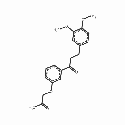 COc1ccc(CCC(=O)c2cccc(OCC(C)=O)c2)cc1OC